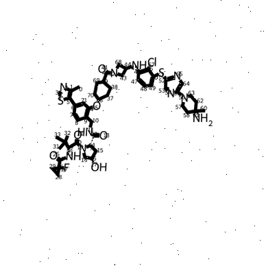 Cc1ncsc1-c1ccc(CNC(=O)[C@@H]2C[C@@H](O)CN2C(=O)[C@@H](NC(=O)C2(F)CC2)C(C)(C)C)c(OC2CCC(C(=O)N3CC(Nc4cccc(Sc5cnc(N6CCC(C)(N)CC6)cn5)c4Cl)C3)CC2)c1